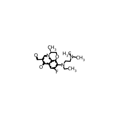 CCN(CCN(C)C)c1c(F)cc2c(=O)c(C=O)cn3c2c1OC[C@@H]3C